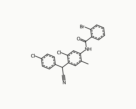 Cc1cc(C(C#N)c2ccc(Cl)cc2)c(Cl)cc1NC(=O)c1ccccc1Br